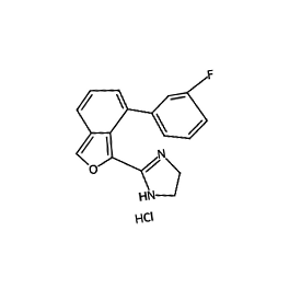 Cl.Fc1cccc(-c2cccc3coc(C4=NCCN4)c23)c1